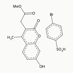 COC(=O)Cc1c(C)c2ccc(O)cc2oc1=O.O=S(=O)(O)c1ccc(Br)cc1